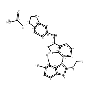 CCOc1nc2ccc(F)c(F)c2n1-c1cccc2c1OC[C@H]2Nc1ccc2c(c1)OC[C@H]2CC(=O)O